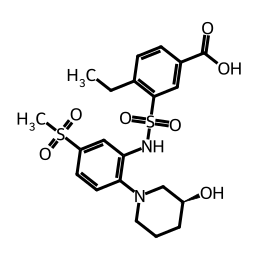 CCc1ccc(C(=O)O)cc1S(=O)(=O)Nc1cc(S(C)(=O)=O)ccc1N1CCC[C@H](O)C1